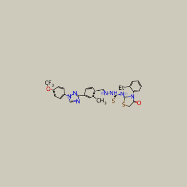 CCc1ccccc1N1C(=O)CS/C1=N\C(=S)N/N=C/c1ccc(-c2ncn(-c3ccc(OC(F)(F)F)cc3)n2)cc1C